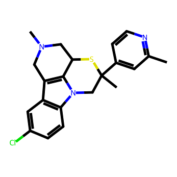 Cc1cc(C2(C)Cn3c4c(c5cc(Cl)ccc53)CN(C)CC4S2)ccn1